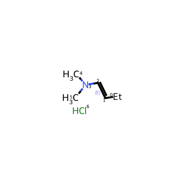 CC/C=C/N(C)C.Cl